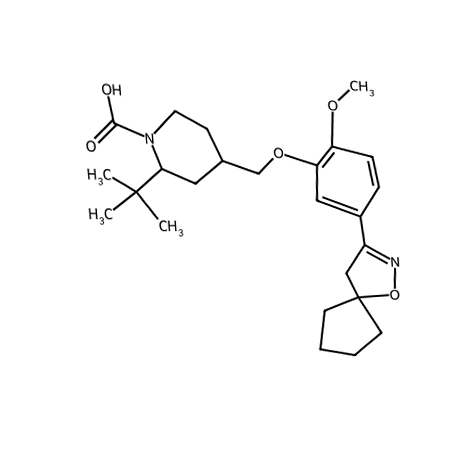 COc1ccc(C2=NOC3(CCCC3)C2)cc1OCC1CCN(C(=O)O)C(C(C)(C)C)C1